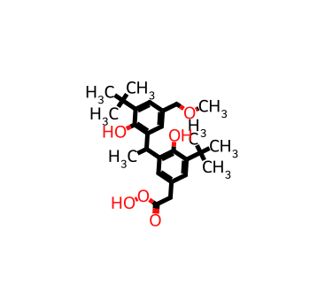 COCc1cc(C(C)c2cc(CC(=O)OO)cc(C(C)(C)C)c2O)c(O)c(C(C)(C)C)c1